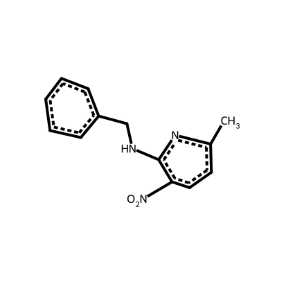 Cc1ccc([N+](=O)[O-])c(NCc2ccccc2)n1